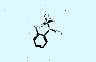 CN(c1ccccc1C(F)(F)F)S(C)(=O)=O